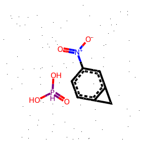 O=[N+]([O-])c1ccc2c(c1)C2.O=[PH](O)O